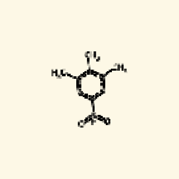 Cc1cc([SH](=O)=O)cc(C)c1C